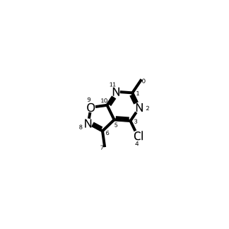 Cc1nc(Cl)c2c(C)noc2n1